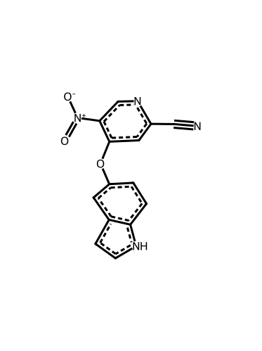 N#Cc1cc(Oc2ccc3[nH]ccc3c2)c([N+](=O)[O-])cn1